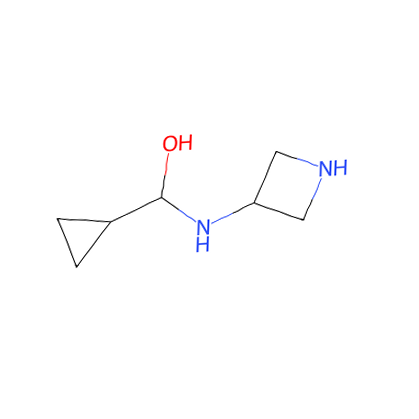 OC(NC1CNC1)C1CC1